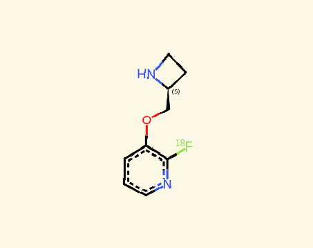 [18F]c1ncccc1OC[C@@H]1CCN1